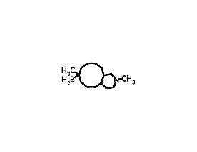 BC1(C)CCCCC2CN(C)CCC2CCC1